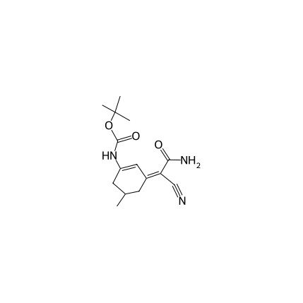 CC1CC(NC(=O)OC(C)(C)C)=CC(=C(C#N)C(N)=O)C1